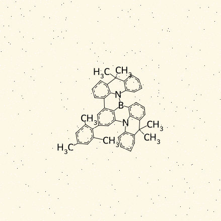 Cc1cc(C)c(-c2cc3c4c(c2)N2c5ccccc5C(C)(C)c5cccc(c52)B4N2c4ccccc4C(C)(C)c4cccc-3c42)c(C)c1